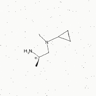 C[C@@H](N)CN(C)C1CC1